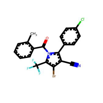 Cc1ccccc1C(=O)n1c(-c2ccc(Cl)cc2)c(C#N)c(Br)c1C(F)(F)F